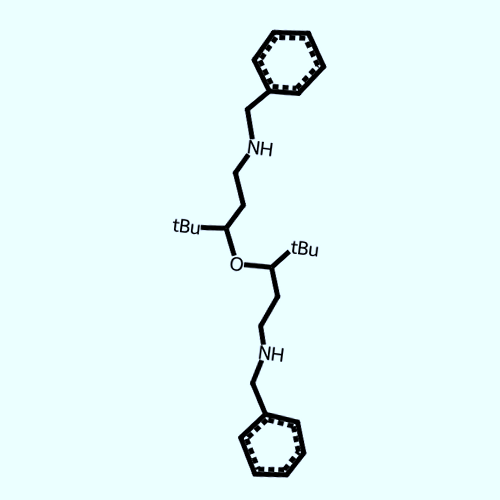 CC(C)(C)C(CCNCc1ccccc1)OC(CCNCc1ccccc1)C(C)(C)C